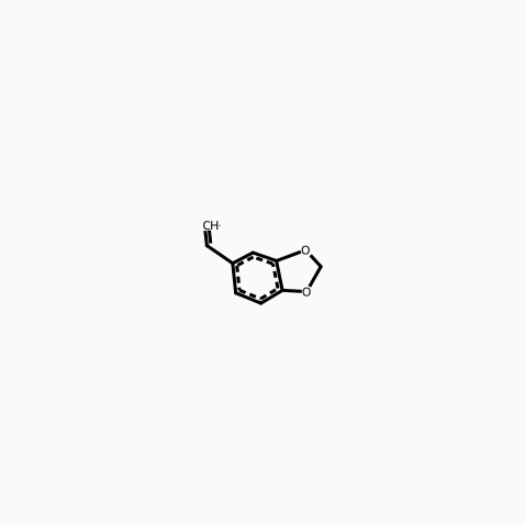 [CH]=Cc1ccc2c(c1)OCO2